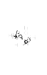 CCc1cc(OCc2ccc(-c3ccccc3-c3nnn[nH]3)cc2)c2c(n1)CCN(C)C2.Cl